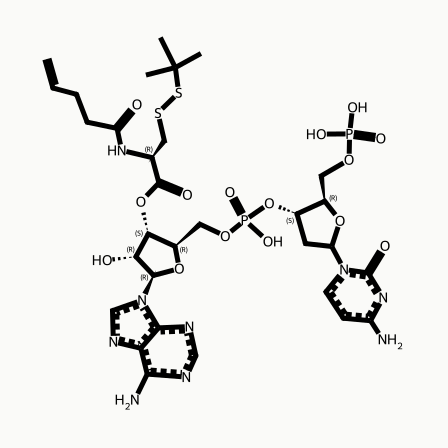 C=CCCC(=O)N[C@@H](CSSC(C)(C)C)C(=O)O[C@H]1[C@@H](O)[C@H](n2cnc3c(N)ncnc32)O[C@@H]1COP(=O)(O)O[C@H]1CC(n2ccc(N)nc2=O)O[C@@H]1COP(=O)(O)O